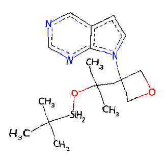 CC(C)(C)[SiH2]OC(C)(C)C1(n2ccc3cncnc32)COC1